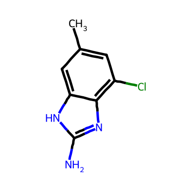 Cc1cc(Cl)c2nc(N)[nH]c2c1